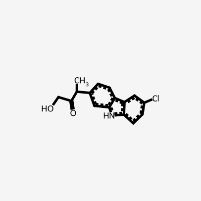 CC(C(=O)CO)c1ccc2c(c1)[nH]c1ccc(Cl)cc12